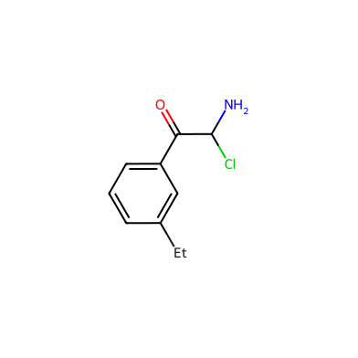 CCc1cccc(C(=O)C(N)Cl)c1